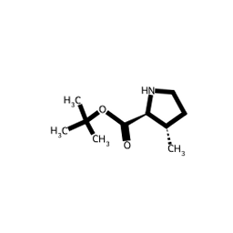 C[C@H]1CCN[C@@H]1C(=O)OC(C)(C)C